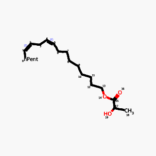 CCCCC/C=C\C/C=C\CCCCCCCCOC(=O)C(C)O